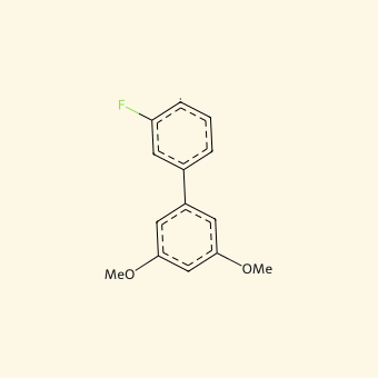 COc1cc(OC)cc(-c2cc[c]c(F)c2)c1